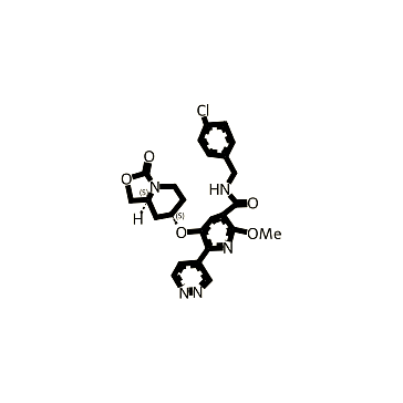 COc1nc(-c2ccnnc2)c(O[C@H]2CCN3C(=O)OC[C@@H]3C2)cc1C(=O)NCc1ccc(Cl)cc1